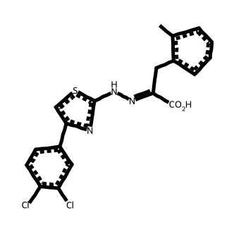 Cc1ccccc1C/C(=N\Nc1nc(-c2ccc(Cl)c(Cl)c2)cs1)C(=O)O